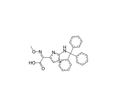 CON=C(C(=O)O)c1csc(NC(c2ccccc2)(c2ccccc2)c2ccccc2)n1